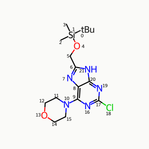 CC(C)(C)[Si](C)(C)OCc1nc2c(N3CCOCC3)nc(Cl)nc2[nH]1